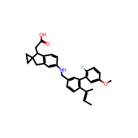 C/C=C(\C)c1ccc(CNc2ccc3c(c2)CC2(CC2)C3CC(=O)O)cc1-c1cc(OC)ccc1F